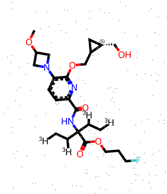 [3H]CC([3H])C(NC(=O)c1ccc(N2CC(OC)C2)c(OCC2C[C@@H]2CO)n1)(C(=O)OCCCF)C([3H])C[3H]